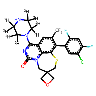 [2H]C1([2H])NC([2H])([2H])C([2H])([2H])N(c2nc(=O)n3c4c(c(-c5cc(Cl)c(F)cc5F)c(C(F)(F)F)cc24)SCC2(COC2)C3)C1([2H])[2H]